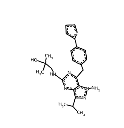 CC(C)c1nn(N)c2c(Cc3ccc(-c4cccs4)cc3)nc(NCC(C)(C)O)nc12